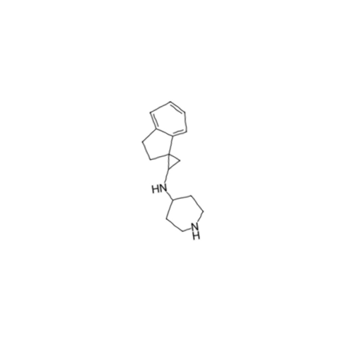 c1ccc2c(c1)CCC21CC1NC1CCNCC1